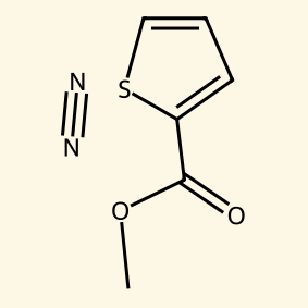 COC(=O)c1cccs1.N#N